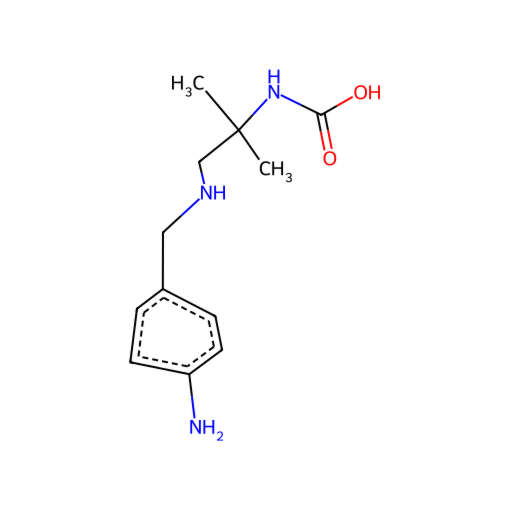 CC(C)(CNCc1ccc(N)cc1)NC(=O)O